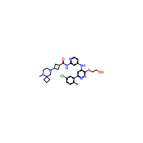 CN1CCN(C2CC(C(=O)Nc3cc(Nc4cc(-c5cc(Cl)ccc5F)nnc4SCCO)ccn3)C2)CC12CCC2